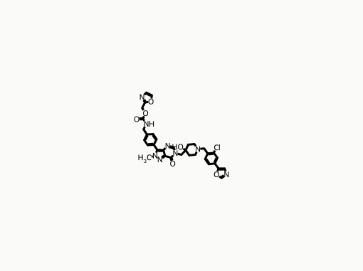 Cn1nc2c(=O)n(CC3(O)CCN(Cc4ccc(-c5cnco5)cc4Cl)CC3)cnc2c1-c1ccc(CNC(=O)OCc2ncco2)cc1